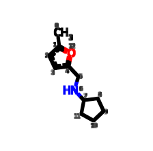 Cc1ccc(CNC2CCCC2)o1